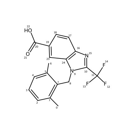 Cc1cccc(C)c1Cn1c(C(F)(F)F)nc2ccc(C(=O)O)cc21